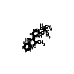 CC(C)/C(Nc1ccccc1)=C(/C=N)NC(=O)OC(C)(C)C